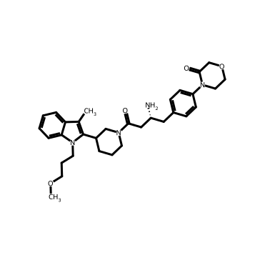 COCCCn1c(C2CCCN(C(=O)C[C@H](N)Cc3ccc(N4CCOCC4=O)cc3)C2)c(C)c2ccccc21